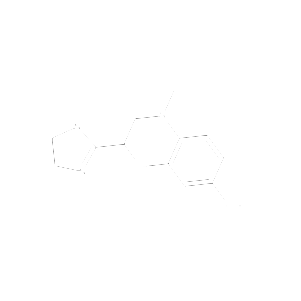 CN1CC(C2=NCCN2)Oc2cc(C=O)ccc21